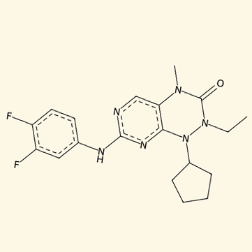 CCN1C(=O)N(C)c2cnc(Nc3ccc(F)c(F)c3)nc2N1C1CCCC1